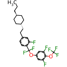 CCC[C@H]1CC[C@H](CCc2ccc(C(F)(F)Oc3cc(F)c(OC(F)(F)F)c(F)c3)c(F)c2)CC1